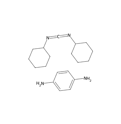 C(=NC1CCCCC1)=NC1CCCCC1.Nc1ccc(N)cc1